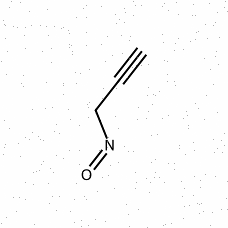 C#CCN=O